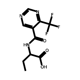 CCC(NC(=O)c1cncnc1C(F)(F)F)C(=O)O